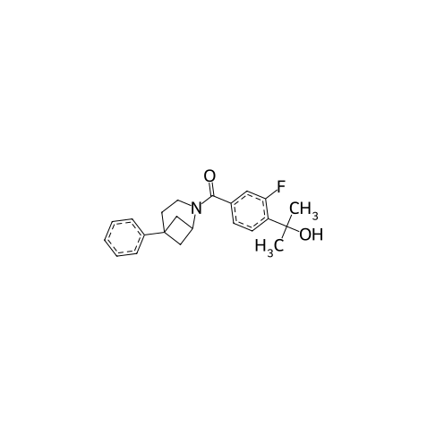 CC(C)(O)c1ccc(C(=O)N2CCC3(c4ccccc4)CC2C3)cc1F